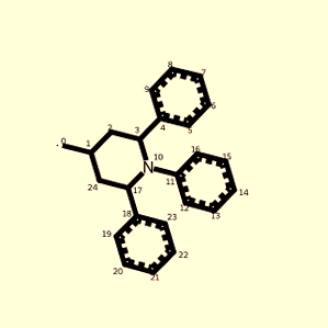 [CH2]C1CC(c2ccccc2)N(c2ccccc2)C(c2ccccc2)C1